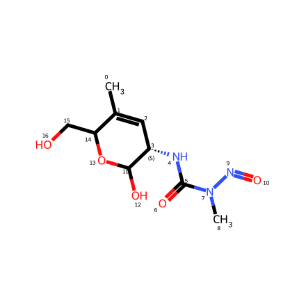 CC1=C[C@H](NC(=O)N(C)N=O)C(O)OC1CO